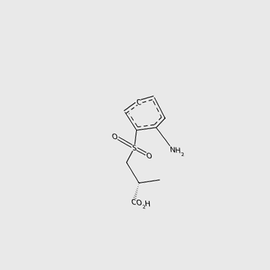 C[C@@H](CS(=O)(=O)c1ccccc1N)C(=O)O